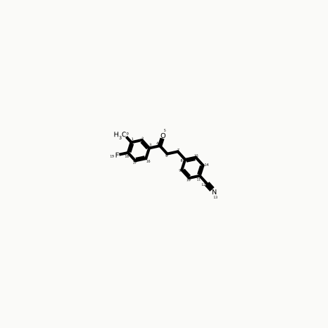 Cc1cc(C(=O)CCc2ccc(C#N)cc2)ccc1F